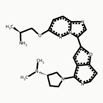 C[C@H](N)COc1ccc2ncc(-c3cc4c(N5CC[C@H](N(C)C)C5)nccc4o3)n2n1